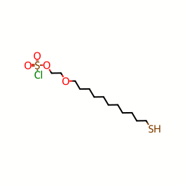 O=S(=O)(Cl)OCCOCCCCCCCCCCCS